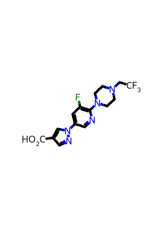 O=C(O)c1cnn(-c2cnc(N3CCN(CC(F)(F)F)CC3)c(F)c2)c1